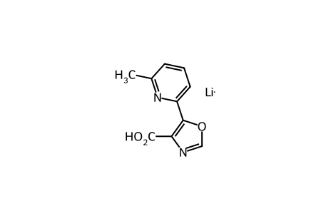 Cc1cccc(-c2ocnc2C(=O)O)n1.[Li]